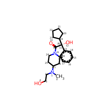 CN(CCO)C1CCN(C(=O)[C@](O)(c2ccccc2)C2CCCC2)CC1